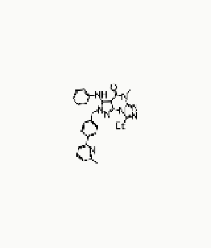 CCc1nnc2n(C)c(=O)c3c(Nc4ccccc4)n(Cc4ccc(-c5cccc(C)n5)cc4)nc3n12